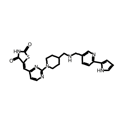 O=C1NC(=O)C(=Cc2ccnc(N3CCC(CNCc4ccc(-c5ccc[nH]5)nc4)CC3)n2)S1